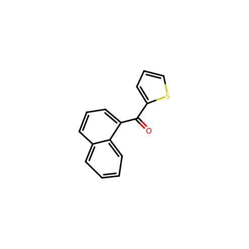 O=C(c1cccs1)c1cccc2ccccc12